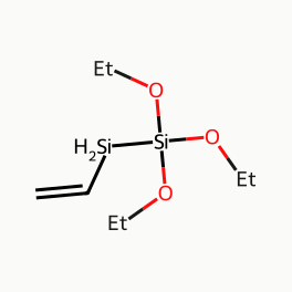 C=C[SiH2][Si](OCC)(OCC)OCC